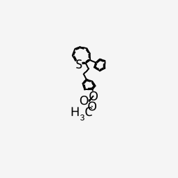 COC(=O)Oc1ccc(CCc2sccccccc2-c2ccccc2)cc1